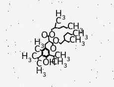 CCCCC(CC)COC(=O)C(Cc1cc(C(C)C)c(O)c(C(C)C)c1C)C(=O)OCC(CC)CCCC